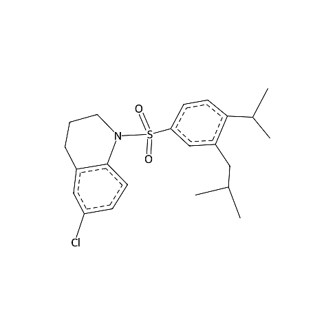 CC(C)Cc1cc(S(=O)(=O)N2CCCc3cc(Cl)ccc32)ccc1C(C)C